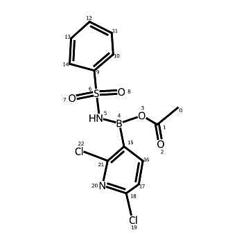 CC(=O)OB(NS(=O)(=O)c1ccccc1)c1ccc(Cl)nc1Cl